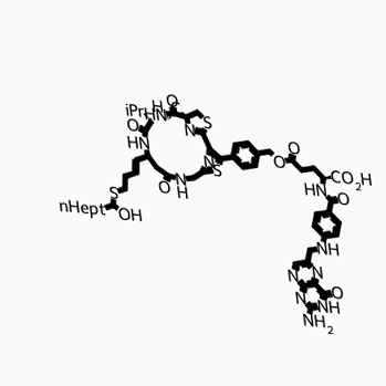 CCCCCCCC(O)SCC/C=C/C1CC(=O)NCc2nc(c(-c3ccc(COC(=O)CC[C@H](NC(=O)c4ccc(NCc5cnc6nc(N)[nH]c(=O)c6n5)cc4)C(=O)O)cc3)s2)C2=N[C@@](C)(CS2)C(=O)N[C@@H](C(C)C)C(=O)N1